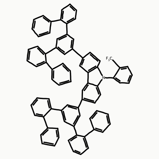 FC(F)(F)c1ccccc1-n1c2ccc(-c3cc(-c4ccccc4-c4ccccc4)cc(-c4ccccc4-c4ccccc4)c3)cc2c2cc(-c3cc(-c4ccccc4-c4ccccc4)cc(-c4ccccc4-c4ccccc4)c3)ccc21